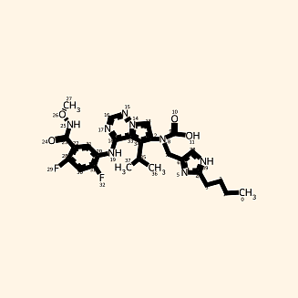 CCCCc1nc(CN(C(=O)O)c2cn3ncnc(Nc4cc(C(=O)NOC)c(F)cc4F)c3c2C(C)C)c[nH]1